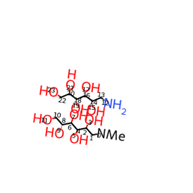 CNC[C@H](O)[C@@H](O)[C@H](O)[C@H](O)CO.NC[C@H](O)[C@@H](O)[C@H](O)[C@H](O)CO